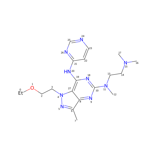 CCOCCn1nc(C)c2nc(N(C)CCN(C)C)nc(Nc3ccncn3)c21